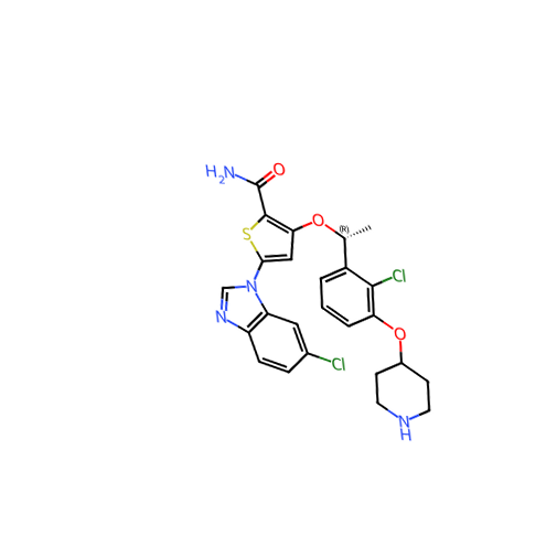 C[C@@H](Oc1cc(-n2cnc3ccc(Cl)cc32)sc1C(N)=O)c1cccc(OC2CCNCC2)c1Cl